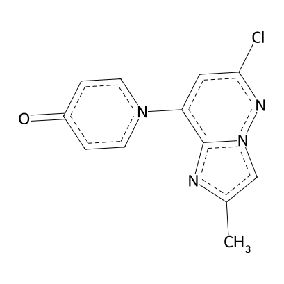 Cc1cn2nc(Cl)cc(-n3ccc(=O)cc3)c2n1